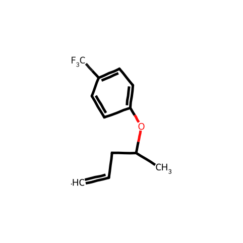 [CH]=CCC(C)Oc1ccc(C(F)(F)F)cc1